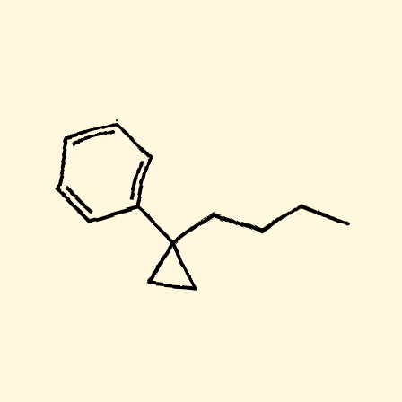 CCCCC1(c2c[c]ccc2)CC1